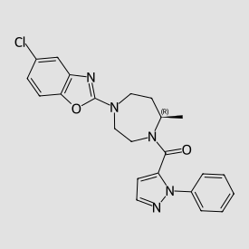 C[C@@H]1CCN(c2nc3cc(Cl)ccc3o2)CCN1C(=O)c1ccnn1-c1ccccc1